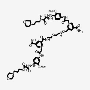 COc1cc(NC(=O)C[n+]2cc(CONCCSCCNC(=O)c3cc(C(N)=O)c[n+](CC(=O)Nc4ccc(NNC(=O)C(=O)NCCCN5CCOCC5)c(OC)c4)c3)cc(C(N)=O)c2)ccc1NNC(=O)C(=O)NCCCN1CCOCC1